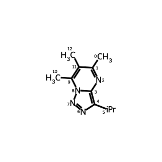 Cc1nc2c(C(C)C)nnn2c(C)c1C